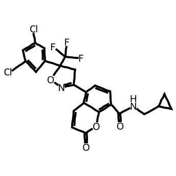 O=C(NCC1CC1)c1ccc(C2=NOC(c3cc(Cl)cc(Cl)c3)(C(F)(F)F)C2)c2ccc(=O)oc12